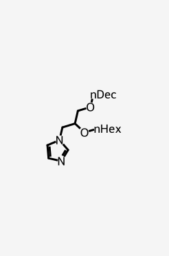 CCCCCCCCCCOCC(Cn1ccnc1)OCCCCCC